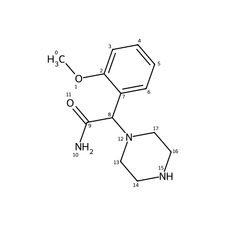 COc1ccccc1C(C(N)=O)N1CCNCC1